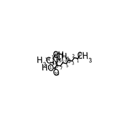 CCCCCCCCC(C(=O)O)[N+](CC)(CC)CC